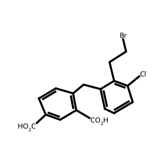 O=C(O)c1ccc(Cc2cccc(Cl)c2CCBr)c(C(=O)O)c1